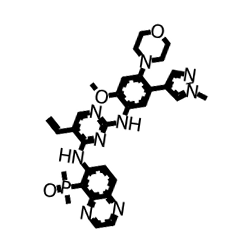 C=Cc1cnc(Nc2cc(-c3cnn(C)c3)c(N3CCOCC3)cc2OC)nc1Nc1ccc2nccnc2c1P(C)(C)=O